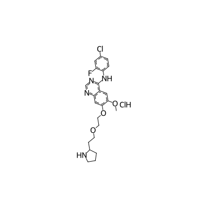 COc1cc2c(Nc3ccc(Cl)cc3F)ncnc2cc1OCCOCCC1CCCN1.Cl